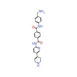 NCc1ccc(NC(=O)c2ccc(C(=O)Nc3ccc(C4=CCNCC4)cn3)cc2)cc1